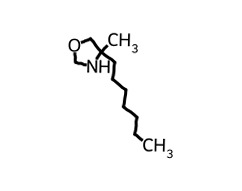 CCCCCCCC1(C)COCN1